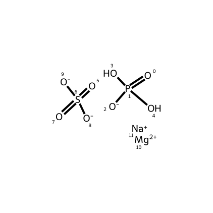 O=P([O-])(O)O.O=S(=O)([O-])[O-].[Mg+2].[Na+]